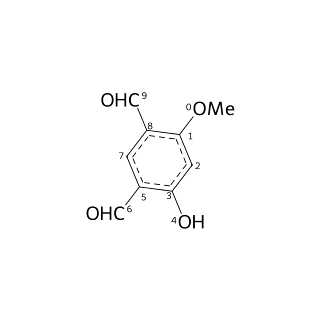 COc1cc(O)c(C=O)cc1C=O